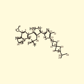 COc1cc(-c2[nH]nc(-c3nc(C)c(N4CC5(C4)CN(C(C)C)C5)s3)c2CC(F)(F)F)cn2ncnc12